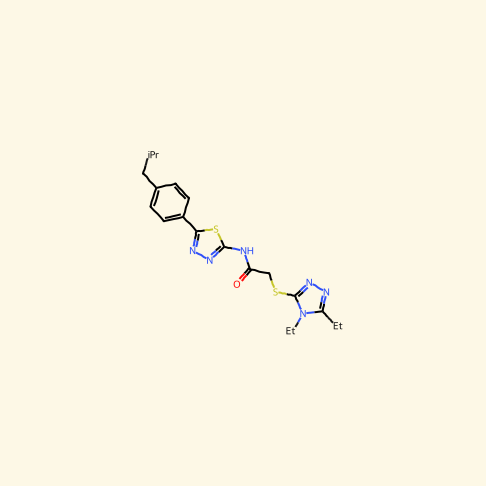 CCc1nnc(SCC(=O)Nc2nnc(-c3ccc(CC(C)C)cc3)s2)n1CC